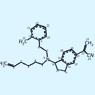 C=CCCCCN(CCc1ccccc1C)C1CCc2cc(C(=C)C#N)ccc21